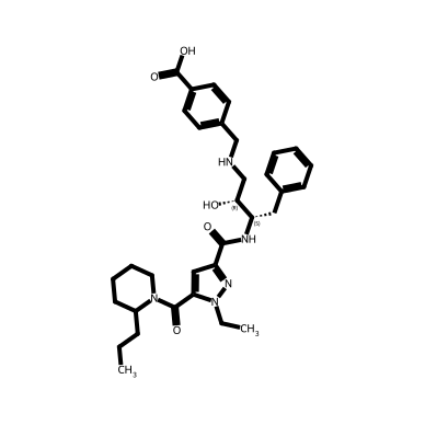 CCCC1CCCCN1C(=O)c1cc(C(=O)N[C@@H](Cc2ccccc2)[C@H](O)CNCc2ccc(C(=O)O)cc2)nn1CC